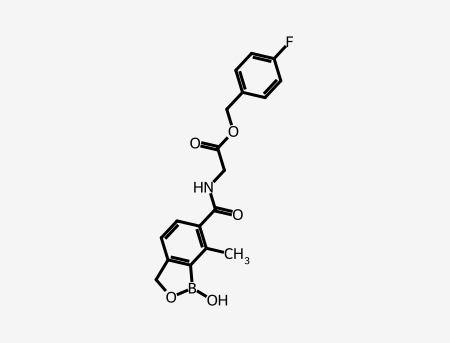 Cc1c(C(=O)NCC(=O)OCc2ccc(F)cc2)ccc2c1B(O)OC2